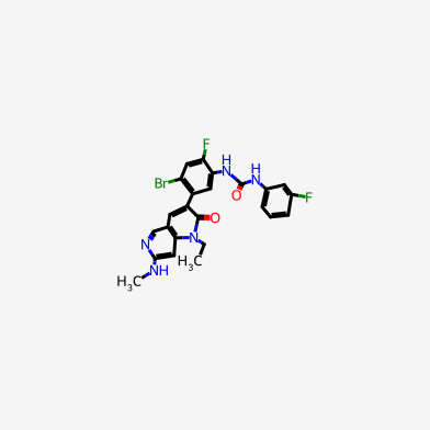 CCn1c(=O)c(-c2cc(NC(=O)Nc3cccc(F)c3)c(F)cc2Br)cc2cnc(NC)cc21